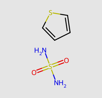 NS(N)(=O)=O.c1ccsc1